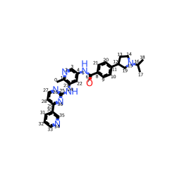 Cc1ncc(NC(=O)c2ccc(C3CCN(C(C)C)C3)cc2)cc1Nc1nccc(-c2cccnc2)n1